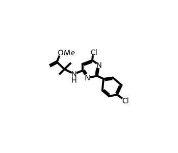 C=C(OC)C(C)(C)Nc1cc(Cl)nc(-c2ccc(Cl)cc2)n1